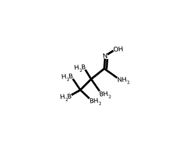 BC(B)(B)C(B)(B)/C(N)=N/O